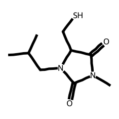 CC(C)CN1C(=O)N(C)C(=O)C1CS